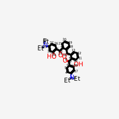 CCN(CC)c1ccc(C(=O)c2ccccc2C(=O)c2ccccc2C(=O)c2ccc(N(CC)CC)cc2O)c(O)c1